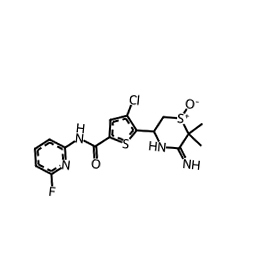 CC1(C)C(=N)NC(c2sc(C(=O)Nc3cccc(F)n3)cc2Cl)C[S+]1[O-]